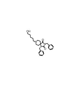 O=C1N(Cc2ccccc2)C(=O)C2(CCN(CCCCCO)CC2)N1Cc1ccccc1